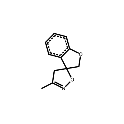 CC1=NOC2(COc3ccccc32)C1